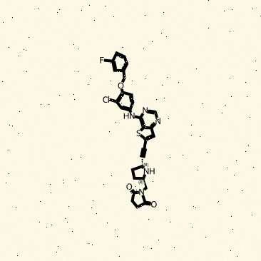 O=C1CCC(=O)N1C[C@H]1CC[C@H](C#Cc2cc3ncnc(Nc4ccc(OCc5cccc(F)c5)c(Cl)c4)c3s2)N1